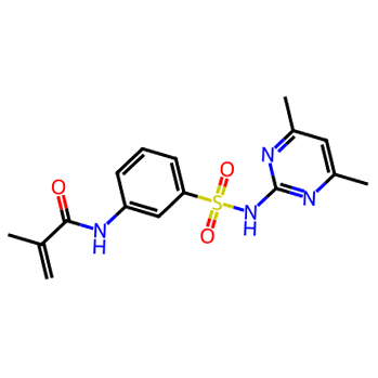 C=C(C)C(=O)Nc1cccc(S(=O)(=O)Nc2nc(C)cc(C)n2)c1